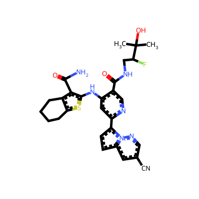 CC(C)(O)C(F)CNC(=O)c1cnc(-c2ccc3cc(C#N)cnn23)cc1Nc1sc2c(c1C(N)=O)CCCC2